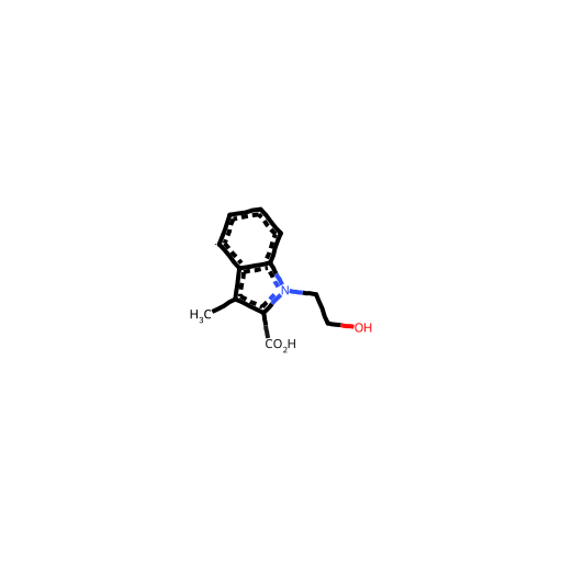 Cc1c(C(=O)O)n(CCO)c2ccc[c]c12